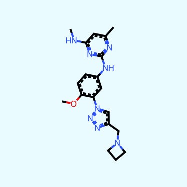 CNc1cc(C)nc(Nc2ccc(OC)c(-n3cc(CN4CCC4)nn3)c2)n1